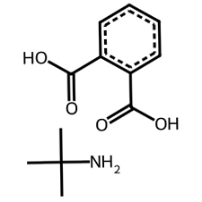 CC(C)(C)N.O=C(O)c1ccccc1C(=O)O